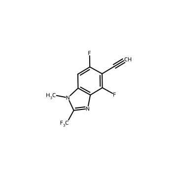 C#Cc1c(F)cc2c(nc(C(F)(F)F)n2C)c1F